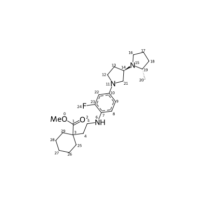 COC(=O)C1(CCNc2ccc(N3CC[C@@H](N4CCC[C@@H]4C)C3)cc2F)CCCCC1